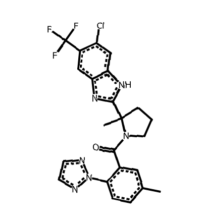 Cc1ccc(-n2nccn2)c(C(=O)N2CCCC2(C)c2nc3cc(C(F)(F)F)c(Cl)cc3[nH]2)c1